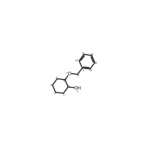 OC1CCCC[C]1OCc1ccccc1